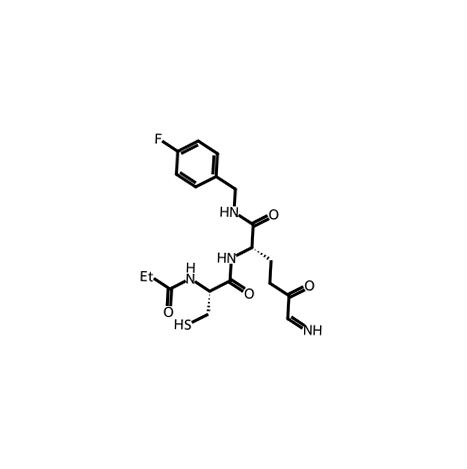 CCC(=O)N[C@@H](CS)C(=O)N[C@@H](CCC(=O)C=N)C(=O)NCc1ccc(F)cc1